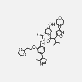 Cc1ncsc1-c1ccc(CNC(=O)[C@@H]2C[C@@H](O)CN2C(=O)C(c2cc(N3CCOCC3)no2)C(C)C)c(OCCC2OCCO2)c1